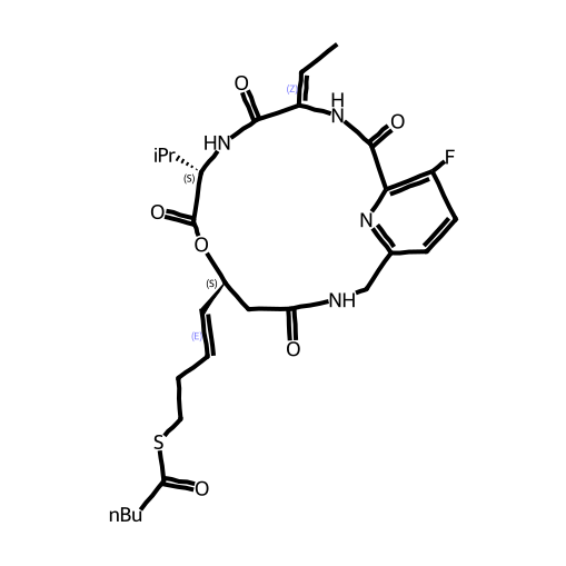 C/C=C1\NC(=O)c2nc(ccc2F)CNC(=O)C[C@@H](/C=C/CCSC(=O)CCCC)OC(=O)[C@H](C(C)C)NC1=O